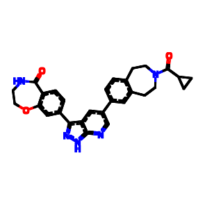 O=C1NCCOc2cc(-c3n[nH]c4ncc(-c5ccc6c(c5)CCN(C(=O)C5CC5)CC6)cc34)ccc21